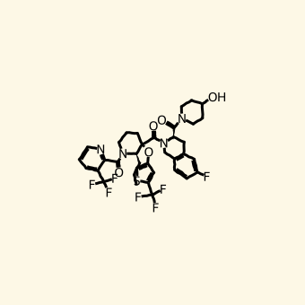 CCC[C@H]1N(C(=O)c2ncccc2C(F)(F)F)CCC[C@]1(Oc1csc(C(F)(F)F)c1)C(=O)N1Cc2ccc(F)cc2C[C@@H]1C(=O)N1CCC(O)CC1